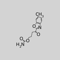 Cc1ccc2nc(C(=O)CCCOC(N)=O)oc2c1